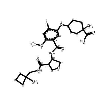 COc1cc(F)c(OC2CCC(C)(C(=O)O)CC2)cc1C(=O)NC1COCC1C(=O)NCC1(C)CCC1